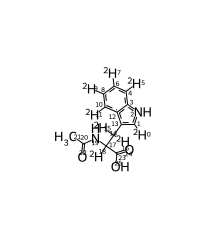 [2H]c1[nH]c2c([2H])c([2H])c([2H])c([2H])c2c1C([2H])([2H])C([2H])(NC(C)=O)C(=O)O